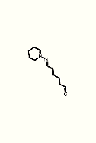 O=CCCCC/C=N/N1CCCCC1